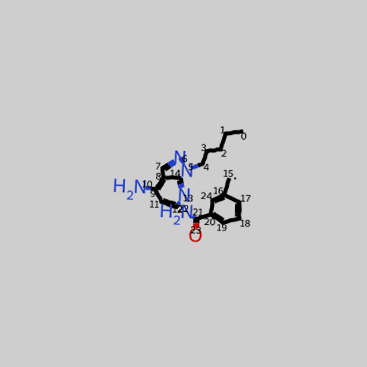 CCCCCn1ncc2c(N)ccnc21.[CH2]c1cccc(C(N)=O)c1